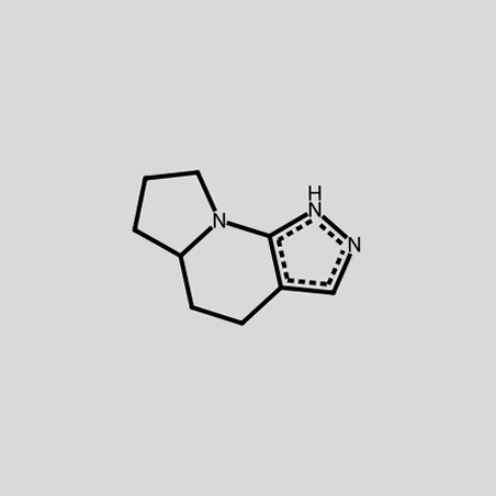 c1n[nH]c2c1CCC1CCCN21